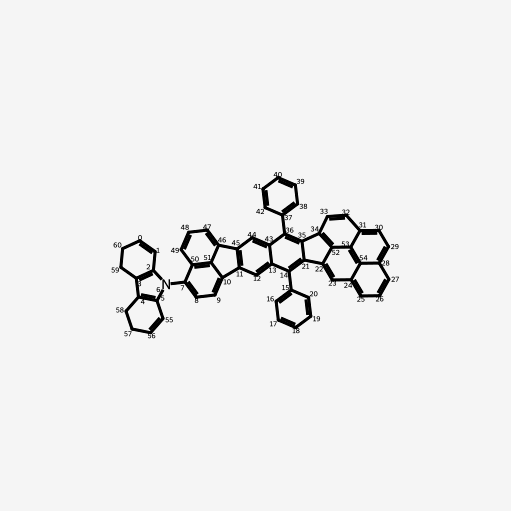 C1=Cc2c(c3c(n2-c2ccc4c5cc6c(-c7ccccc7)c7c8cc9cccc%10ccc%11ccc(c7c(-c7ccccc7)c6cc5c5cccc2c54)c8c%11c%109)C=CCC3)CC1